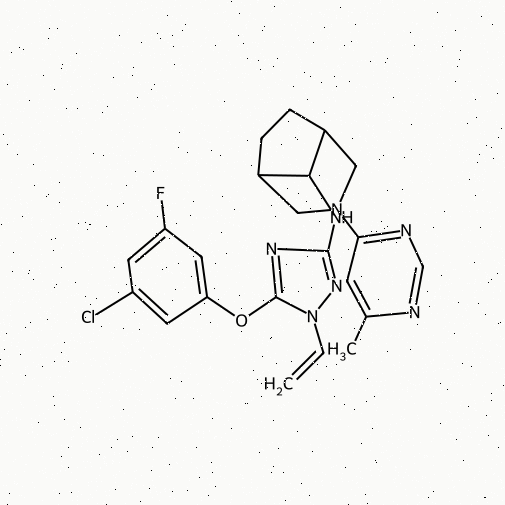 C=Cn1nc(NC2C3CCC2CN(c2cc(C)ncn2)C3)nc1Oc1cc(F)cc(Cl)c1